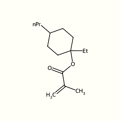 C=C(C)C(=O)OC1(CC)CCC(CCC)CC1